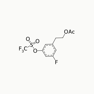 CC(=O)OCCc1cc(F)cc(OS(=O)(=O)C(F)(F)F)c1